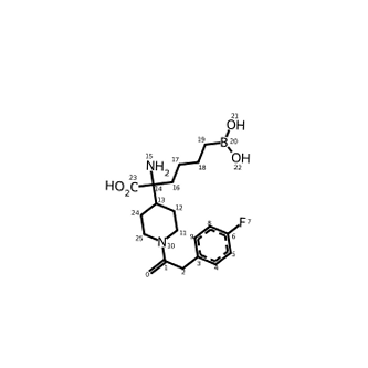 C=C(Cc1ccc(F)cc1)N1CCC(C(N)(CCCCB(O)O)C(=O)O)CC1